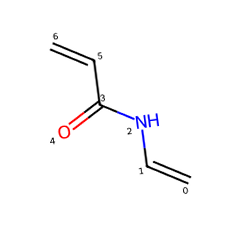 C=CNC(=O)C=C